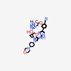 CC(Cn1cnnn1)Oc1cc(-c2cnc(Nc3cn(C4CCC(N5CCOCC5)CC4)nc3OCC3(O)CCC3)nc2)ccc1C#N